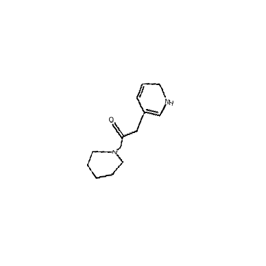 O=C(CC1=CNCC=C1)N1CCCCC1